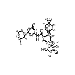 Cc1cc(NC(=O)c2ccc(NS(=O)(=O)C(=O)[C@H](C)O)cc2N2CCC3(CC2)CC3)nc(N2CCO[C@H](C)C2)n1